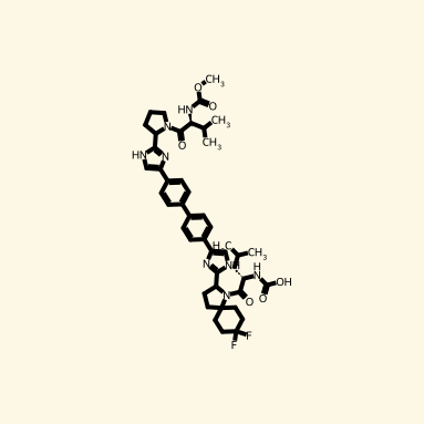 COC(=O)N[C@H](C(=O)N1CCCC1c1nc(-c2ccc(-c3ccc(-c4c[nH]c(C5CCC6(CCC(F)(F)CC6)N5C(=O)[C@H](CC(C)C)NC(=O)O)n4)cc3)cc2)c[nH]1)C(C)C